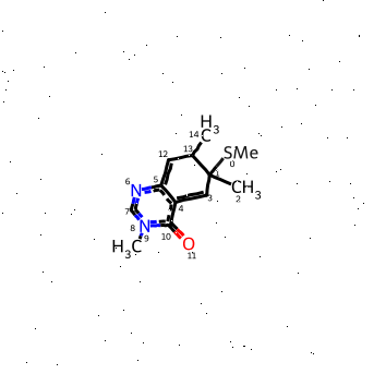 CSC1(C)C=c2c(ncn(C)c2=O)=CC1C